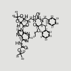 CCOC(=O)[C@H](Cc1ccccc1)N(Cc1ccccc1)C(=O)NC[C@H]1O[C@@H](n2cnc3c(NC(=O)OC(C)(C)C)ncnc32)[C@@H]2OC(C)(C)O[C@@H]21